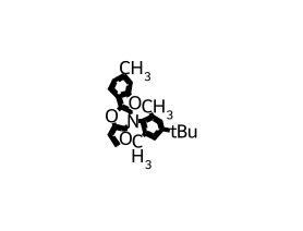 Cc1ccc2c3c(oc2c1)N(c1c(C)cc(C(C)(C)C)cc1C)c1occc1O3